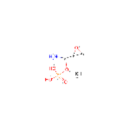 NC(OP(=O)(O)O)C1CO1.[KH]